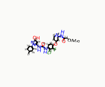 COCC(=O)Nc1cc(Oc2ccc(NC(=O)Nc3cc(O)nn3-c3ccc(C)cc3)c(Cl)c2F)ccn1